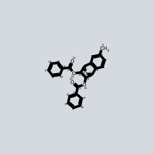 Cc1ccc2c(c1)C1OC2C(OC(=O)c2ccccc2)C1OC(=O)c1ccccc1